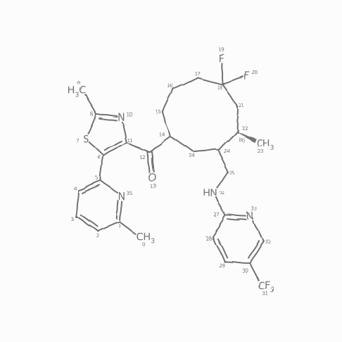 Cc1cccc(-c2sc(C)nc2C(=O)C2CCCC(F)(F)C[C@@H](C)C(CNc3ccc(C(F)(F)F)cn3)C2)n1